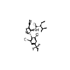 CCC(C(=O)Nc1c(C#N)cnn1-c1c(Cl)cc(C(F)(F)F)cc1Cl)C(C)C